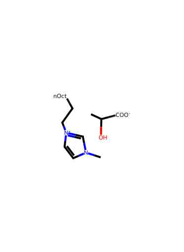 CC(O)C(=O)[O-].CCCCCCCCCC[n+]1ccn(C)c1